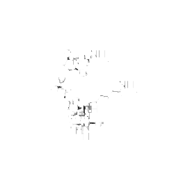 NC(=O)ON1C(=O)CCC1=O.NCCCCCCNC(=O)[C@@]1(CCCCC(=O)O)SC[C@@H]2NC(=O)N[C@@H]21